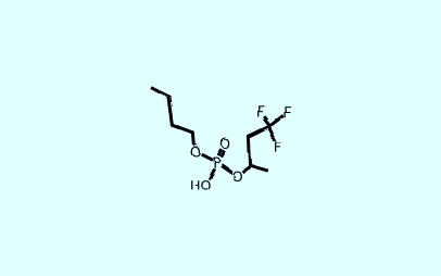 CCCCOP(=O)(O)OC(C)CC(F)(F)F